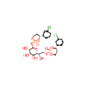 O=P1(OC[C@@H](O)[C@H]2O[C@H](OP3(=O)OCC[C@H](c4cccc(Cl)c4)O3)[C@@H](O)[C@@H](O)[C@@H]2O)OCC[C@@H](c2cccc(Cl)c2)O1